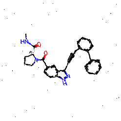 CNC(=O)[C@H]1CCCN1C(=O)c1ccc2[nH]nc(C#Cc3ccccc3-c3ccccc3)c2c1